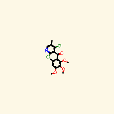 COc1cc(C)c(C(=O)c2c(Cl)ncc(C)c2Cl)c(OC)c1OC